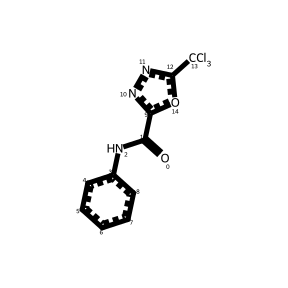 O=C(Nc1ccccc1)c1nnc(C(Cl)(Cl)Cl)o1